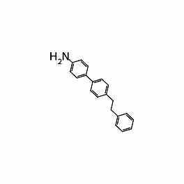 Nc1ccc(-c2ccc(CCc3ccccc3)cc2)cc1